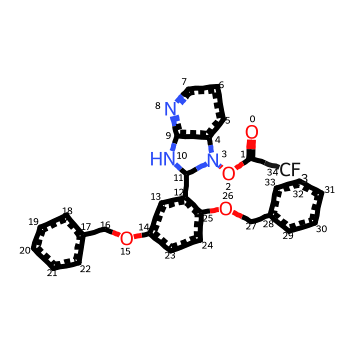 O=C(ON1c2cccnc2NC1c1cc(OCc2ccccc2)ccc1OCc1ccccc1)C(F)(F)F